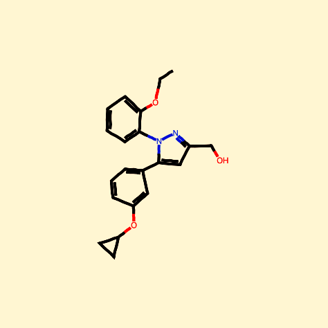 CCOc1ccccc1-n1nc(CO)cc1-c1cccc(OC2CC2)c1